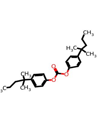 CCCC(C)(C)c1ccc(OC(=O)Oc2ccc(C(C)(C)CCC)cc2)cc1